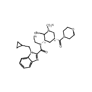 CC(C)CN(C(=O)c1nc2ccccc2n1CC1CC1)[C@H]1C[C@@H](C(=O)N2CCOCC2)CN(C(=O)O)C1C(C)(C)C